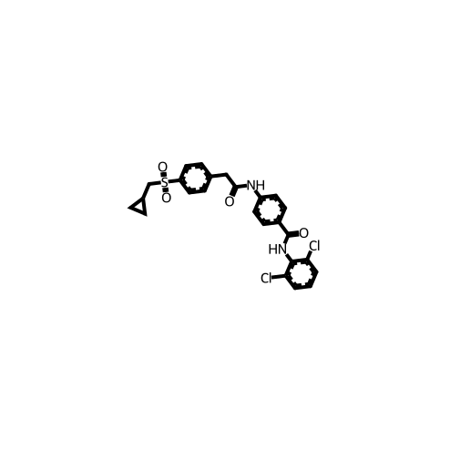 O=C(Cc1ccc(S(=O)(=O)CC2CC2)cc1)Nc1ccc(C(=O)Nc2c(Cl)cccc2Cl)cc1